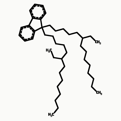 CCCCCCCCC(CC)CCCCCC1(CCCCCC(CC)CCCCCCCC)c2ccccc2-c2ccccc21